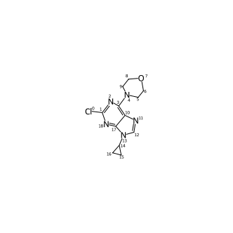 Clc1nc(N2CCOCC2)c2ncn(C3CC3)c2n1